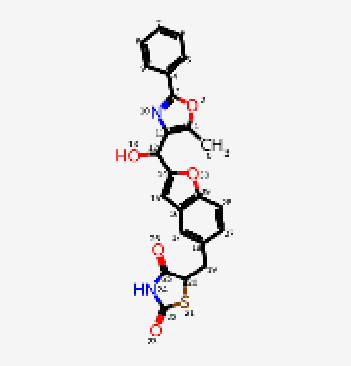 Cc1oc(-c2ccccc2)nc1C(O)c1cc2cc(CC3SC(=O)NC3=O)ccc2o1